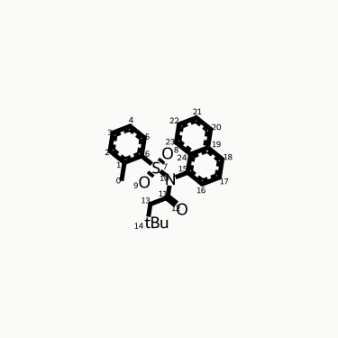 Cc1ccccc1S(=O)(=O)N(C(=O)CC(C)(C)C)c1cccc2ccccc12